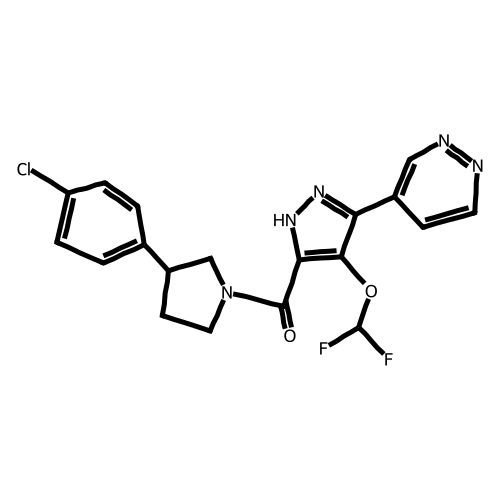 O=C(c1[nH]nc(-c2ccnnc2)c1OC(F)F)N1CCC(c2ccc(Cl)cc2)C1